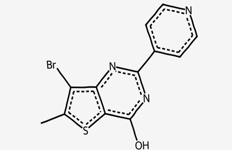 Cc1sc2c(O)nc(-c3ccncc3)nc2c1Br